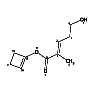 CC(=CCCO)C(=O)OC1=CCC1